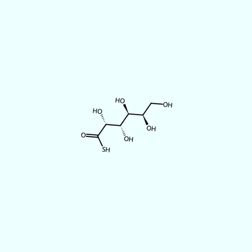 O=C(S)[C@H](O)[C@@H](O)[C@@H](O)[C@H](O)CO